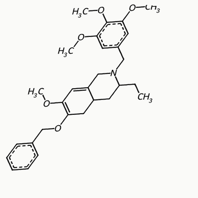 CCC1CC2CC(OCc3ccccc3)=C(OC)C=C2CN1Cc1cc(OC)c(OC)c(OC)c1